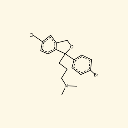 CN(C)CCCC1(c2ccc(Br)cc2)OCc2cc(Cl)ccc21